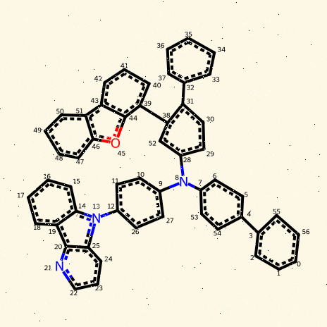 c1ccc(-c2ccc(N(c3ccc(-n4c5ccccc5c5ncccc54)cc3)c3ccc(-c4ccccc4)c(-c4cccc5c4oc4ccccc45)c3)cc2)cc1